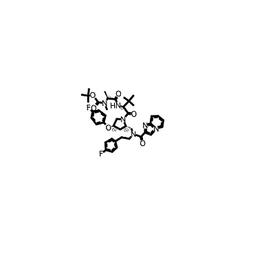 C[C@@H](C(=O)N[C@H](C(=O)N1C[C@@H](Oc2ccc(F)cc2)C[C@H]1CN(CCc1ccc(F)cc1)C(=O)c1cn2ccccc2n1)C(C)(C)C)N(C)C(=O)OC(C)(C)C